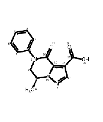 C[C@H]1CN(c2ccccc2)C(=O)c2c(C(=O)O)cnn21